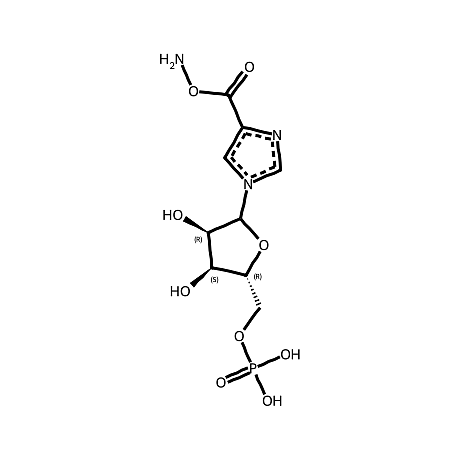 NOC(=O)c1cn(C2O[C@H](COP(=O)(O)O)[C@@H](O)[C@H]2O)cn1